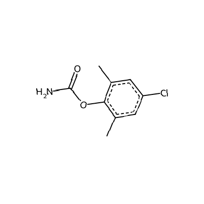 Cc1cc(Cl)cc(C)c1OC(N)=O